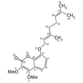 COc1c(OC)c2cccc(OC/C=C(\C)CCC=C(C)C)c2oc1=O